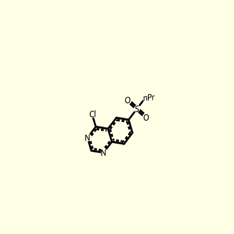 CCCS(=O)(=O)c1ccc2ncnc(Cl)c2c1